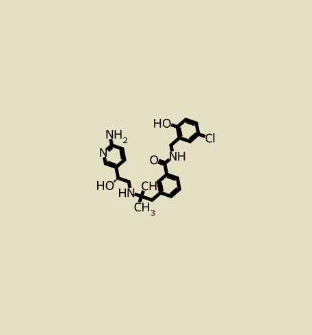 CC(C)(Cc1cccc(C(=O)NCc2cc(Cl)ccc2O)c1)NC[C@H](O)c1ccc(N)nc1